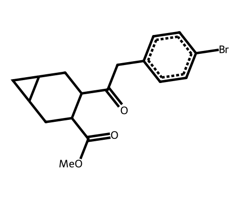 COC(=O)C1CC2CC2CC1C(=O)Cc1ccc(Br)cc1